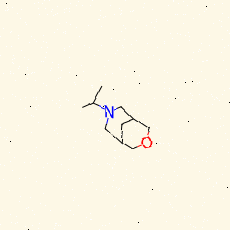 CC(C)N1CC2COCC(C2)C1